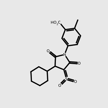 Cc1ccc(N2C(=O)C(=S(=O)=O)C(C3CCCCC3)C2=O)cc1C(=O)O